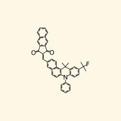 CC(C)(F)c1ccc2c(c1)C(C)(C)c1c(ccc3cc(C=C4C(=O)c5cc6ccccc6cc5C4=O)ccc13)N2c1ccccc1